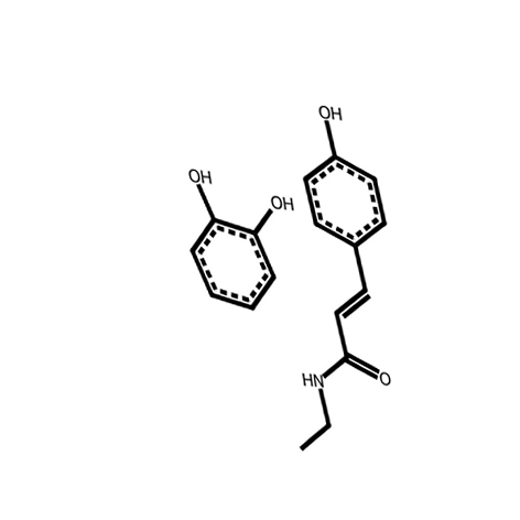 CCNC(=O)C=Cc1ccc(O)cc1.Oc1ccccc1O